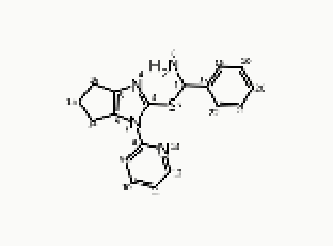 NC(Sc1nc2c(n1-c1ccccn1)CCC2)c1ccccc1